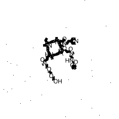 CCC1=C(C)c2cc3[nH]c(cc4nc(c5c6[nH]c(cc1n2)c(C)c6C(=O)N(CCc1ccncc1)C5=O)[C@@H](CCC(=O)N(C)CCNC(=O)OC(C)(C)C)[C@@H]4C)c(C)c3/C=C/C(=O)N(C)CCOCCOCCO